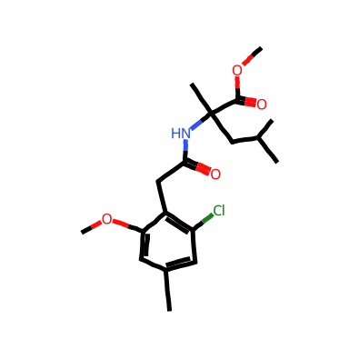 COC(=O)C(C)(CC(C)C)NC(=O)Cc1c(Cl)cc(C)cc1OC